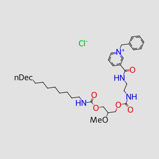 CCCCCCCCCCCCCCCCCCNC(=O)OCC(COC(=O)NCCNC(=O)c1ccc[n+](Cc2ccccc2)c1)OC.[Cl-]